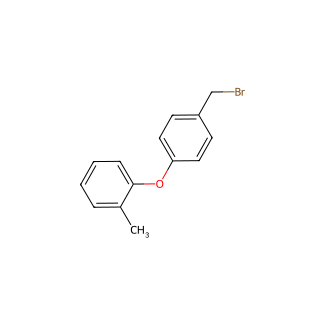 Cc1ccccc1Oc1ccc(CBr)cc1